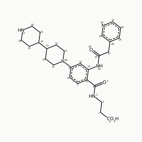 O=C(O)CCNC(=O)c1ccc(N2CCC(C3CCNCC3)CC2)cc1NC(=O)Cc1cccnc1